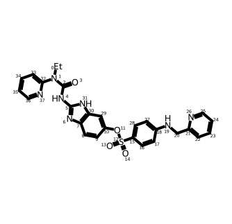 CCN(C(=O)Nc1nc2ccc(OS(=O)(=O)c3ccc(NCc4ccccn4)cc3)cc2[nH]1)c1ccccn1